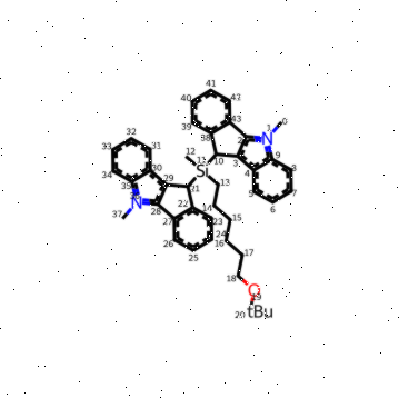 Cn1c2c(c3ccccc31)C([Si](C)(CCCCCCOC(C)(C)C)C1c3ccccc3-c3c1c1ccccc1n3C)c1ccccc1-2